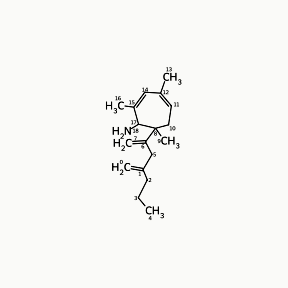 C=C(CCC)CC(=C)C1(C)CC=C(C)C=C(C)C1N